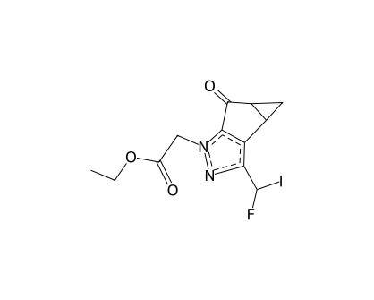 CCOC(=O)Cn1nc(C(F)I)c2c1C(=O)C1CC21